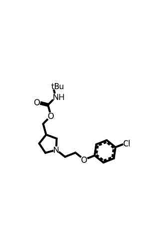 CC(C)(C)NC(=O)OCC1CCN(CCOc2ccc(Cl)cc2)C1